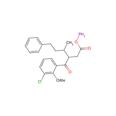 COc1c(Cl)cccc1C(=O)C(CC(=O)OP)C(C)CCc1ccccc1